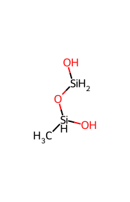 C[SiH](O)O[SiH2]O